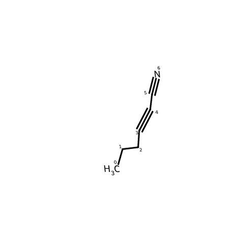 CCCC#CC#N